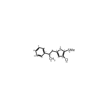 CSc1sc(CC(C)c2cccnc2)cc1Cl